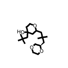 CC(C)(C)CC1(O)CCOC(CC(C)(C)C[C@@H]2COCCO2)C1